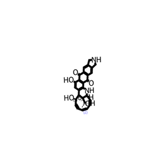 C[C@@H](O)[C@@]12C[C@]13c1cc(O)c4c(c1N[C@H]2C#C/C=C\C#C[C@H]3O)C(=O)c1cc2c(cc1C4=O)CNC2